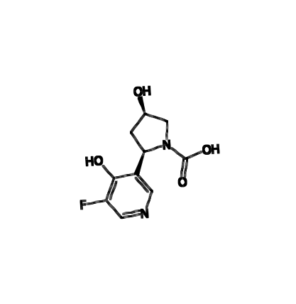 O=C(O)N1C[C@H](O)C[C@@H]1c1cncc(F)c1O